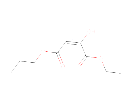 CCCOC(=O)/C=C(/O)C(=O)OCC